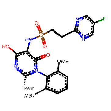 CCC[C@@H](C)c1nc(O)c(NS(=O)(=O)CCc2ncc(F)cn2)c(=O)n1-c1c(OC)cccc1OC